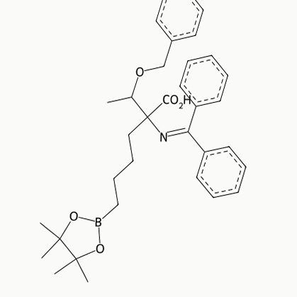 CC(OCc1ccccc1)C(CCCCB1OC(C)(C)C(C)(C)O1)(N=C(c1ccccc1)c1ccccc1)C(=O)O